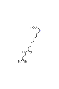 CCCCCCCC/C=C\CCCCCCCC(=O)NCCN(CC)CC